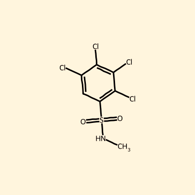 CNS(=O)(=O)c1cc(Cl)c(Cl)c(Cl)c1Cl